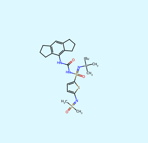 CC(C)(C)[Si](C)(C)N=S(=O)(NC(=O)Nc1c2c(cc3c1CCC3)CCC2)c1ccc(N=S(C)(C)=O)s1